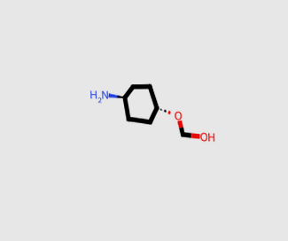 N[C@H]1CC[C@H](OCO)CC1